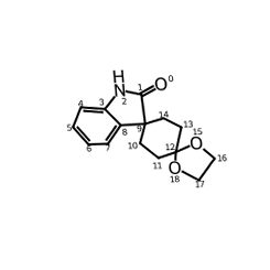 O=C1Nc2ccccc2C12CCC1(CC2)OCCO1